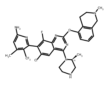 Cc1cc(N)nc(-c2c(Cl)cc3c(N4CCNC[C@@H]4C)nc(Oc4cccc5c4CCN(C)C5)nc3c2F)c1C(F)(F)F